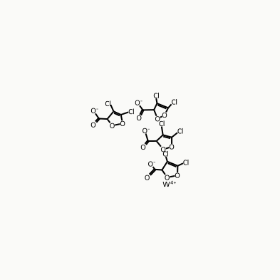 O=C([O-])C1OOC(Cl)=C1Cl.O=C([O-])C1OOC(Cl)=C1Cl.O=C([O-])C1OOC(Cl)=C1Cl.O=C([O-])C1OOC(Cl)=C1Cl.[W+4]